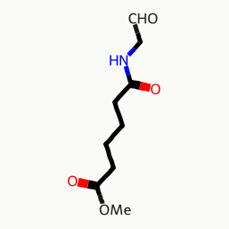 COC(=O)CCCCC(=O)NCC=O